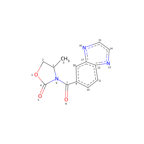 CC1COC(=O)N1C(=O)c1ccc2nccnc2c1